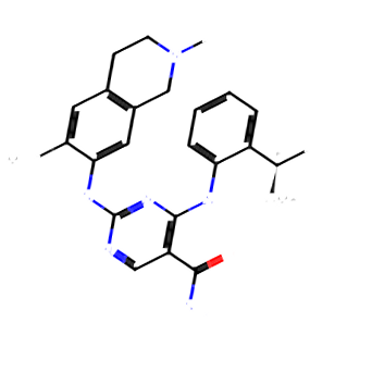 COc1cc2c(cc1Nc1ncc(C(N)=O)c(Nc3ccccc3[C@@H](C)OC)n1)CN(C)CC2